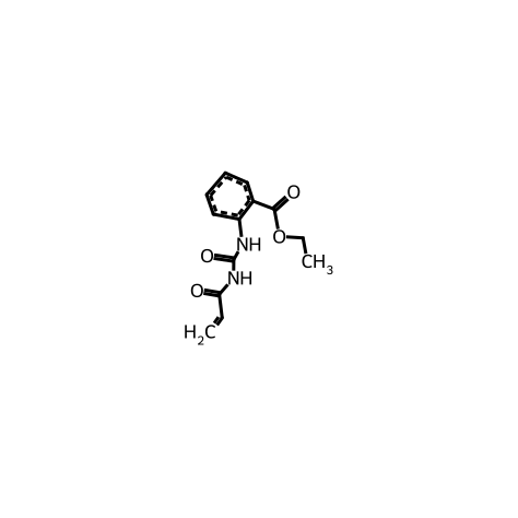 C=CC(=O)NC(=O)Nc1ccccc1C(=O)OCC